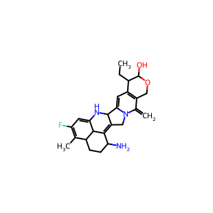 C=C1C2=C(C=C3C4NC5=CC(F)=C(C)C6CCC(N)C(=C4CN13)C56)C(CC)C(O)OC2